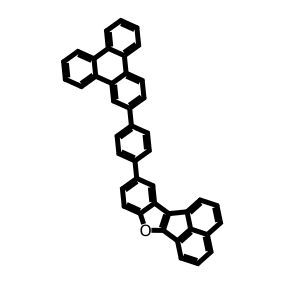 c1cc2c3c(cccc3c1)-c1c-2oc2ccc(-c3ccc(-c4ccc5c6ccccc6c6ccccc6c5c4)cc3)cc12